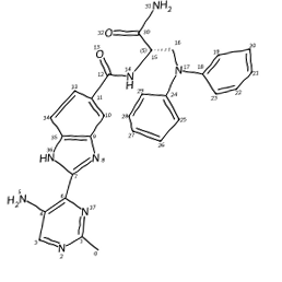 Cc1ncc(N)c(-c2nc3cc(C(=O)N[C@@H](CN(c4ccccc4)c4ccccc4)C(N)=O)ccc3[nH]2)n1